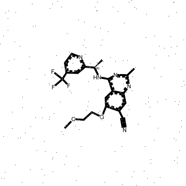 COCCOc1cc2c(N[C@H](C)c3cc(C(F)(F)F)ccn3)nc(C)nc2cc1C#N